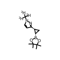 [2H]C([2H])([2H])n1ccc([C@H]2C[C@@H]2B2OC(C)(C)C(C)(C)O2)n1